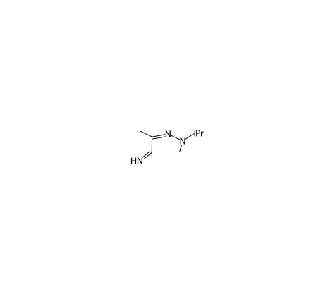 C/C(C=N)=N/N(C)C(C)C